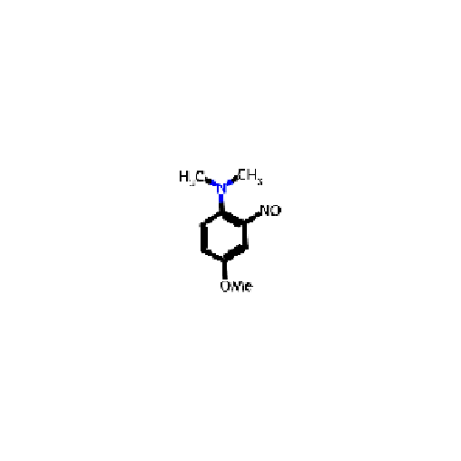 COc1ccc(N(C)C)c(N=O)c1